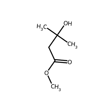 COC(=O)CC(C)(C)O